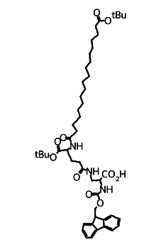 CC(C)(C)OC(=O)CCCCCCCCCCCCCCCCC(=O)NC(CCC(=O)NCC(NC(=O)OCC1c2ccccc2-c2ccccc21)C(=O)O)C(=O)OC(C)(C)C